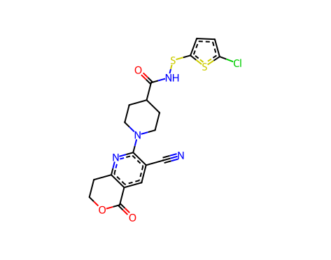 N#Cc1cc2c(nc1N1CCC(C(=O)NSc3ccc(Cl)s3)CC1)CCOC2=O